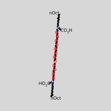 CCCCCCCCC=CCCCCCCCCN(CCOCCOCCOCCOCCOCCOCCOCCOCCOCCOCCOCCOCCN(CCCCCCCCC=CCCCCCCCC)CCC(=O)O)CCC(=O)O